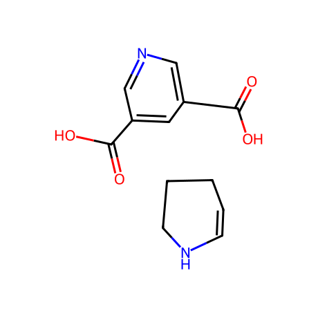 C1=CNCCC1.O=C(O)c1cncc(C(=O)O)c1